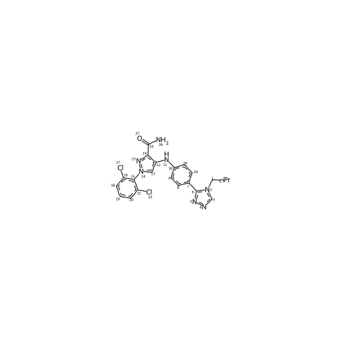 CC(C)Cn1cnnc1-c1ccc(Nc2cn(-c3c(Cl)cccc3Cl)nc2C(N)=O)cc1